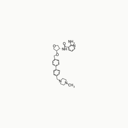 CN1CCN(Cc2ccc(-c3ccc(CO[C@H]4COC[C@@H]4NC(=O)c4cccnc4N)cc3)cc2)CC1